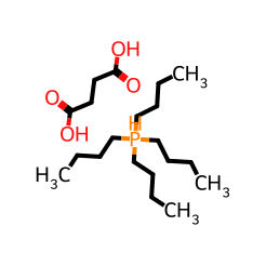 CCCC[PH](CCCC)(CCCC)CCCC.O=C(O)CCC(=O)O